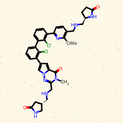 COc1nc(-c2cccc(-c3cccc(-c4cc5c(=O)n(C)c(CNC[C@@H]6CNC(=O)C6)nn5c4)c3Cl)c2Cl)ccc1CNC[C@H]1CCC(=O)N1